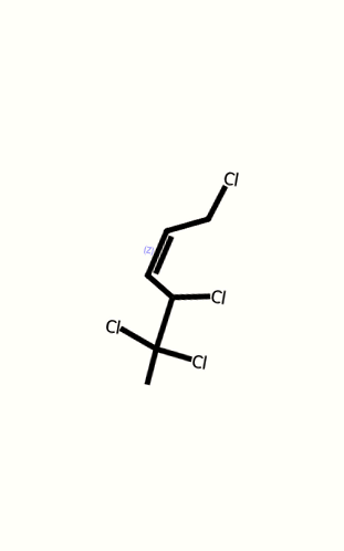 CC(Cl)(Cl)C(Cl)/C=C\CCl